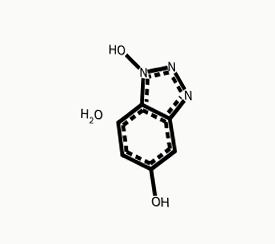 O.Oc1ccc2c(c1)nnn2O